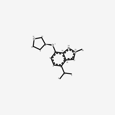 CC(C)c1ccc(O[C@H]2CCOC2)c2nn(C)cc12